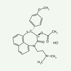 COc1ccc([C@H]2Sc3cccc4cccc(c34)N(CCN(C)C)C(=O)[C@@H]2OC(C)=O)cc1.Cl